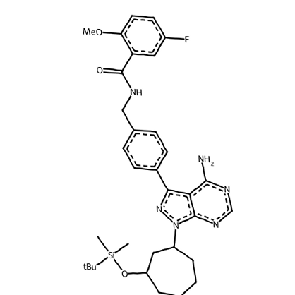 COc1ccc(F)cc1C(=O)NCc1ccc(-c2nn(C3CCCCC(O[Si](C)(C)C(C)(C)C)C3)c3ncnc(N)c23)cc1